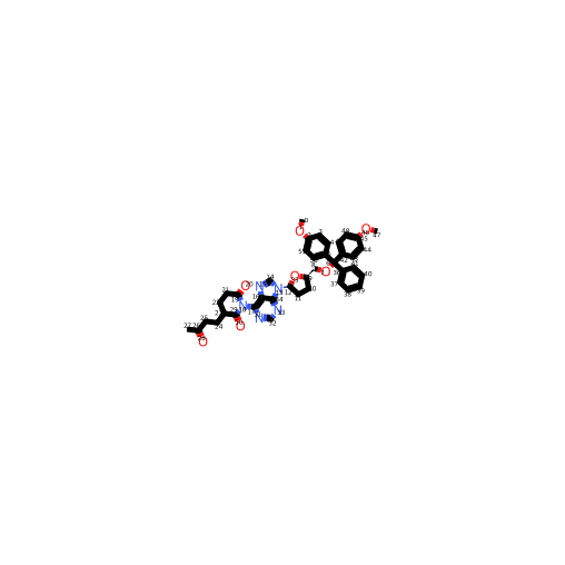 COc1ccc(C(OC[C@@H]2CC[C@H](n3cnc4c(N5C(=O)CCC(CCC(C)=O)C5=O)ncnc43)O2)(c2ccccc2)c2ccc(OC)cc2)cc1